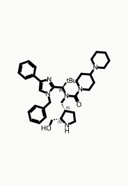 CC(C)(C)[C@H](c1nc(-c2ccccc2)cn1Cc1ccccc1)N(C[C@@H]1CCN[C@@H]1CO)C(=O)N1CCC(N2CCCCC2)CC1